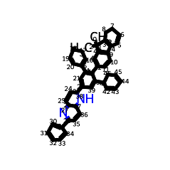 CC1(C)C2=C(C=CCC2)c2ccc(-c3c(C4=CCCC=C4)cc(C4C=CC5N=C(c6ccccc6)C=CC5N4)cc3C3C=CC=CC3)cc21